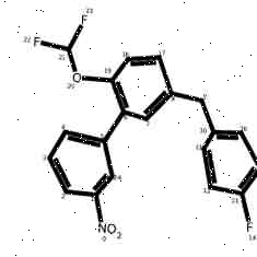 O=[N+]([O-])c1cccc(-c2cc(Cc3ccc(F)cc3)ccc2OC(F)F)c1